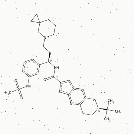 CC(C)(C)[C@H]1CCc2nc3sc(C(=O)N[C@H](CCN4CCCC5(CC5)C4)c4cccc(NS(C)(=O)=O)c4)cc3cc2C1